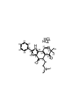 CN(C)CCC1C(=O)c2nc(-c3ccccc3)[nH]c2C2=C1C(=O)C(C)(C)N=C2.Cl.Cl